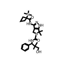 CC(C)(CO)C(NC(=O)N1Cc2c(NC(=O)C3([Si](C)(C)C)CCC3)n[nH]c2C1(C)C)c1ccccc1